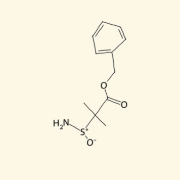 CC(C)(C(=O)OCc1ccccc1)[S+](N)[O-]